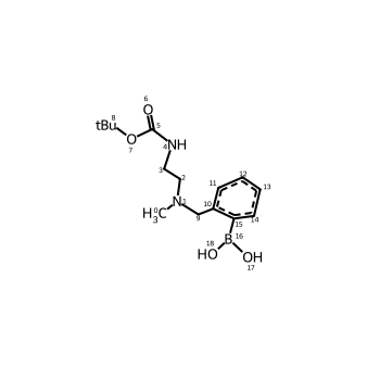 CN(CCNC(=O)OC(C)(C)C)Cc1ccccc1B(O)O